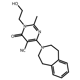 Cc1nc(N2CCc3ccccc3CC2)c(C#N)c(=O)n1CCO